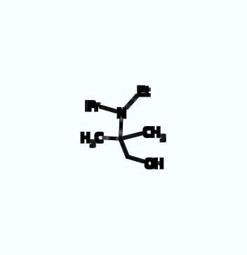 CCN(C(C)C)C(C)(C)CO